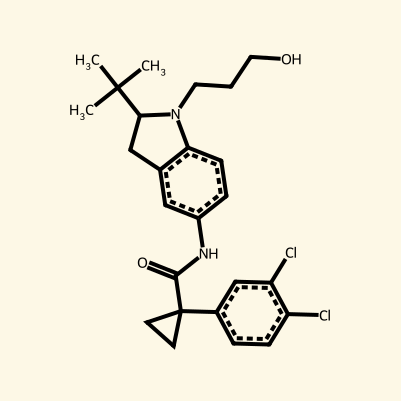 CC(C)(C)C1Cc2cc(NC(=O)C3(c4ccc(Cl)c(Cl)c4)CC3)ccc2N1CCCO